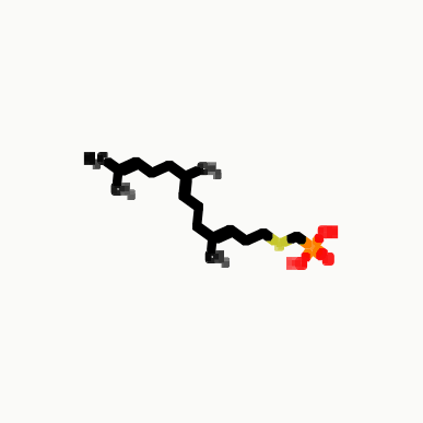 CC(C)=CCCC(C)=CCCC(C)=CCCSCP(=O)(O)O